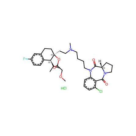 COCC(=O)O[C@]1(CCN(C)CCCCN2C(=O)[C@@H]3CCCN3C(=O)c3c(Cl)cccc32)CCc2cc(F)ccc2[C@@H]1C(C)C.Cl